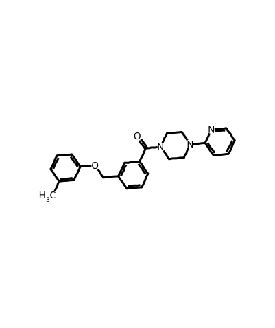 Cc1cccc(OCc2cccc(C(=O)N3CCN(c4ccccn4)CC3)c2)c1